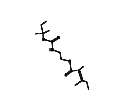 CC/C(C)=C(\C)C(=O)OCCNC(=O)OC(C)(C)CC